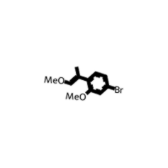 COC=C(C)c1ccc(Br)cc1OC